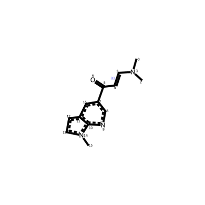 CN(C)/C=C/C(=O)c1cnc2c(ccn2C)c1